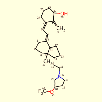 C=C1/C(=C\C=C2/CCCC3(C)C2CC[C@@H]3CCN2CCC(OC(F)(F)F)C2)CCCC1O